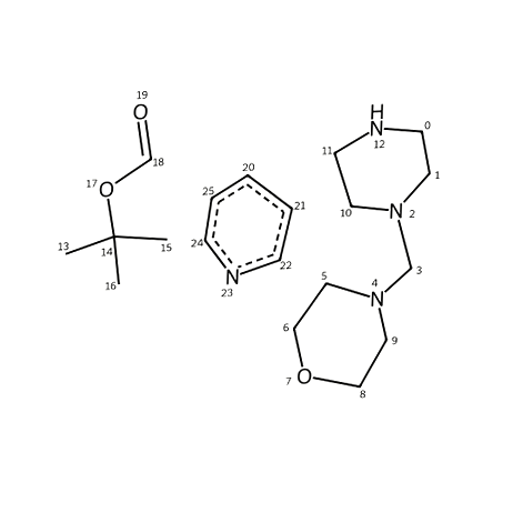 C1CN(CN2CCOCC2)CCN1.CC(C)(C)OC=O.c1ccncc1